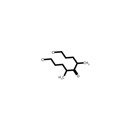 CC(CCCCl)C(=O)C(C)CCCCl